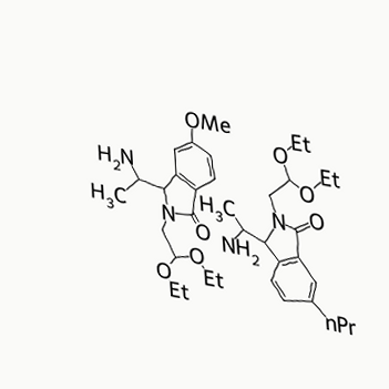 CCCc1ccc2c(c1)C(=O)N(CC(OCC)OCC)C2C(C)N.CCOC(CN1C(=O)c2ccc(OC)cc2C1C(C)N)OCC